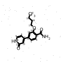 NC(=O)c1ccc(-c2cc[nH]c(=O)c2)cc1OCCCC(F)(F)F